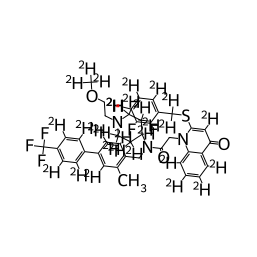 [2H]c1c([2H])c(F)c(F)c(C([2H])([2H])Sc2c([2H])c(=O)c3c([2H])c([2H])c([2H])c([2H])c3n2CC(=O)N(Cc2c([2H])c([2H])c(-c3c([2H])c([2H])c(C(F)(F)F)c([2H])c3[2H])c([2H])c2C)C2([2H])C([2H])([2H])C([2H])([2H])N(CCOC([2H])([2H])[2H])C([2H])([2H])C2([2H])[2H])c1[2H]